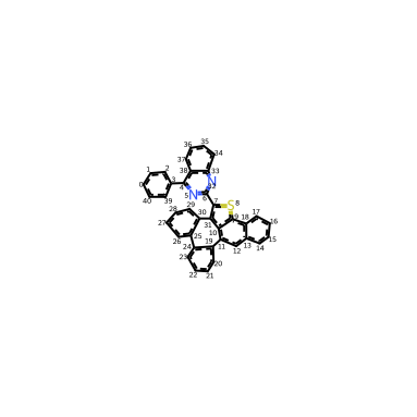 c1ccc(-c2nc(-c3sc4c5c(cc6ccccc64)-c4ccccc4-c4ccccc4-c35)nc3ccccc23)cc1